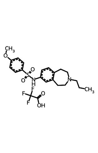 CCCN1CCc2ccc(NS(=O)(=O)c3ccc(OC)cc3)cc2CC1.O=C(O)C(F)(F)F